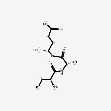 CC(C)[C@H](NC(=O)[C@@H](N)CO)C(=O)N[C@@H](CCC(N)=O)C(=O)O